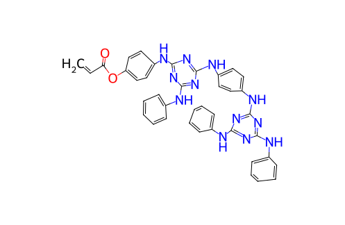 C=CC(=O)Oc1ccc(Nc2nc(Nc3ccccc3)nc(Nc3ccc(Nc4nc(Nc5ccccc5)nc(Nc5ccccc5)n4)cc3)n2)cc1